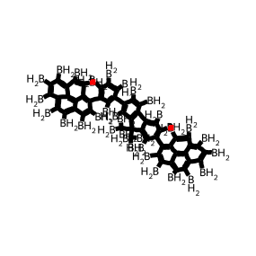 Bc1c(B)c(-c2c(B)c(B)c3c(c2B)C(C(B)(B)B)(C(B)(B)B)c2c(B)c(-c4c(B)c(B)c5c(B)c(B)c6c(B)c(B)c(B)c7c(B)c(B)c4c5c67)c(B)c(B)c2-3)c(B)c(-c2c(B)c(B)c3c(B)c(B)c4c(B)c(B)c(B)c5c(B)c(B)c2c3c45)c1B